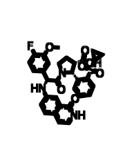 COc1cc([C@@H](Nc2ccc3cc[nH]c(=O)c3c2)C(=O)N2CC[C@H](C(=O)O)[C@@H]2c2ccccc2S(=O)(=O)C2CC2)ccc1F